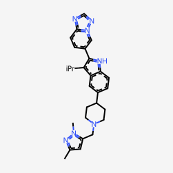 Cc1cc(CN2CCC(c3ccc4[nH]c(-c5ccc6ncnn6c5)c(C(C)C)c4c3)CC2)n(C)n1